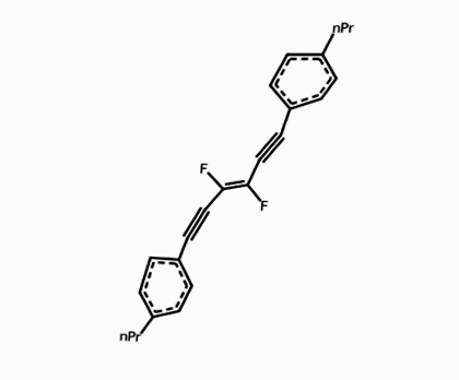 CCCc1ccc(C#CC(F)=C(F)C#Cc2ccc(CCC)cc2)cc1